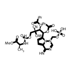 COC(=O)[C@H](C)N[PH](=O)OC[C@@](C#N)(OC)[C@@H](OC(=O)C(C)C)[C@@H](OC(=O)C(C)C)c1ccc2c(=N)ncn(COP(=O)(O)O)n12